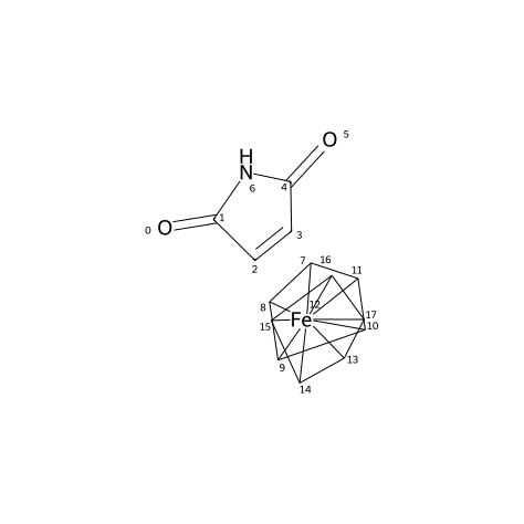 O=C1C=CC(=O)N1.[CH]12[CH]3[CH]4[CH]5[CH]1[Fe]23451678[CH]2[CH]1[CH]6[CH]7[CH]28